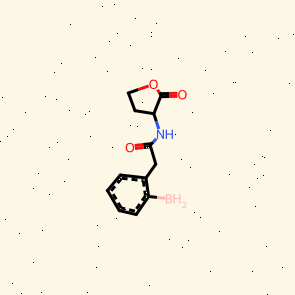 Bc1ccccc1CC(=O)NC1CCOC1=O